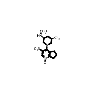 O=C(O)N[C@H]1C[C@@H](C(F)(F)F)CN(c2c([N+](=O)[O-])c[n+]([O-])c3c2CCC3)C1